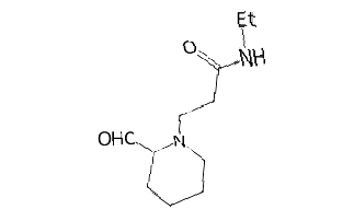 CCNC(=O)CCN1CCCCC1C=O